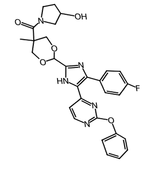 CC1(C(=O)N2CCC(O)C2)COC(c2nc(-c3ccc(F)cc3)c(-c3ccnc(Oc4ccccc4)n3)[nH]2)OC1